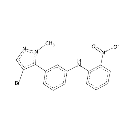 Cn1ncc(Br)c1-c1cccc(Nc2ccccc2[N+](=O)[O-])c1